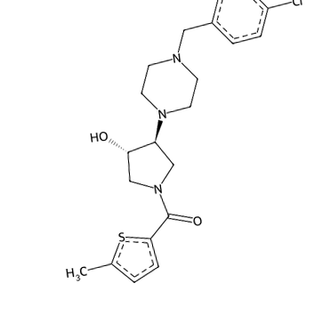 Cc1ccc(C(=O)N2C[C@H](O)[C@@H](N3CCN(Cc4ccc(Cl)cc4)CC3)C2)s1